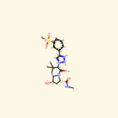 CNC(=O)[C@@H]1C[C@@H](O)CN1C(=O)C(n1cc(-c2cccc(S(C)(=O)=O)c2)nn1)C(C)(C)C